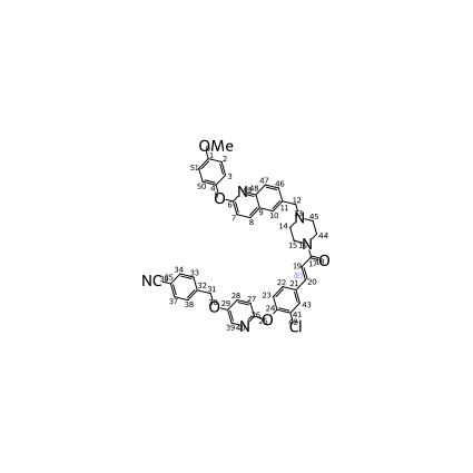 COc1ccc(Oc2ccc3cc(CN4CCN(C(=O)/C=C/c5ccc(Oc6ccc(OCc7ccc(C#N)cc7)cn6)c(Cl)c5)CC4)ccc3n2)cc1